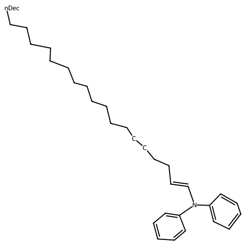 CCCCCCCCCCCCCCCCCCCCCCCCCCC=CN(c1ccccc1)c1ccccc1